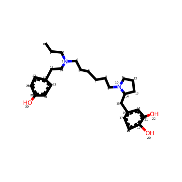 CCCN(CCCCCCN1CCCC1Cc1ccc(O)c(O)c1)CCc1ccc(O)cc1